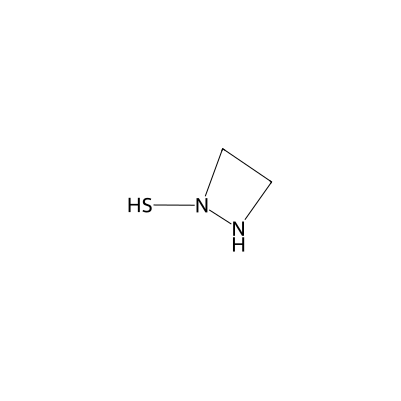 SN1CCN1